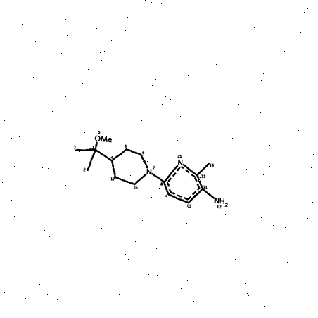 COC(C)(C)C1CCN(c2ccc(N)c(C)n2)CC1